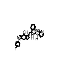 COc1ncccc1NC(=O)NC(C[C@H]1CCC2=C1[C@@H](C)c1cnn(-c3ccc(F)cc3)c1C2)c1ccccc1